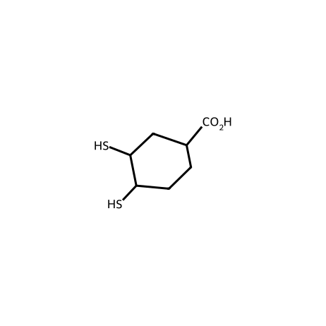 O=C(O)C1CCC(S)C(S)C1